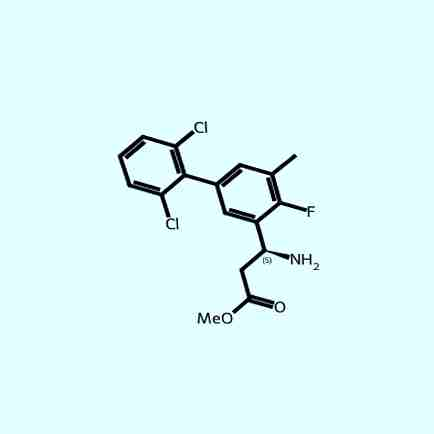 COC(=O)C[C@H](N)c1cc(-c2c(Cl)cccc2Cl)cc(C)c1F